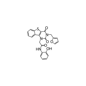 O=C(Cn1c(=O)n(Cc2ccco2)c(=O)c2sc3ccccc3c21)Nc1ccccc1O